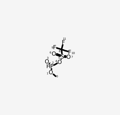 CO[PH](=O)OS(=O)(=O)C(F)(F)F